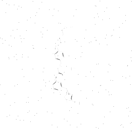 Br.CCCCCCCCCCCCCCOc1ccc(OCC(=O)Nc2cccc(CN3C=C(C)SC3)c2)cc1